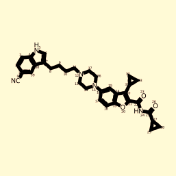 N#Cc1ccc2[nH]cc(CCCCN3CCN(c4ccc5oc(C(=O)NC(=O)C6CC6)c(C6CC6)c5c4)CC3)c2c1